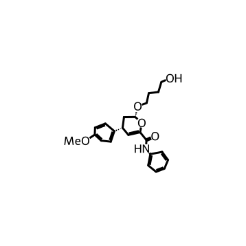 COc1ccc([C@H]2C=C(C(=O)Nc3ccccc3)O[C@@H](OCCCCO)C2)cc1